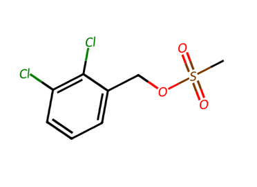 CS(=O)(=O)OCc1cccc(Cl)c1Cl